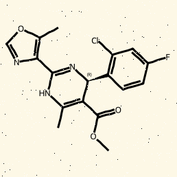 COC(=O)C1=C(C)NC(c2ncoc2C)=N[C@H]1c1ccc(F)cc1Cl